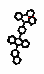 c1ccc(-c2ccccc2N(c2ccc(-c3c4ccccc4c(-c4ccc5ccccc5c4)c4ccccc34)cc2)c2ccccn2)cc1